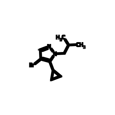 CC(C)Cn1n[c]c(Br)c1C1CC1